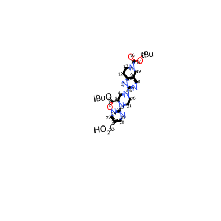 CC(C)COC(=O)[C@H]1CN(c2ncc3c(n2)CCN(C(=O)OC(C)(C)C)C3)CCN1c1ncc(C(=O)O)cn1